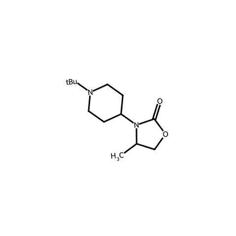 CC1COC(=O)N1C1CCN(C(C)(C)C)CC1